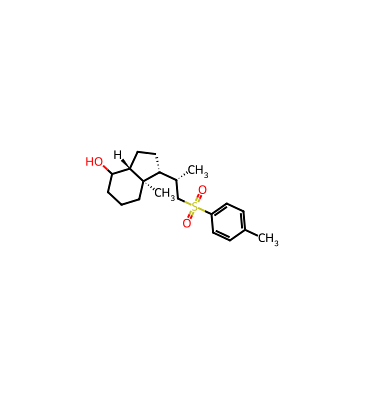 Cc1ccc(S(=O)(=O)C[C@@H](C)[C@H]2CC[C@H]3C(O)CCC[C@]23C)cc1